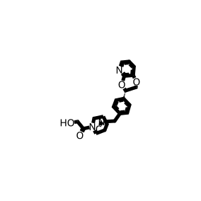 O=C(CO)N1CC2CCC1CN2Cc1ccc([C@H]2COc3cccnc3O2)cc1